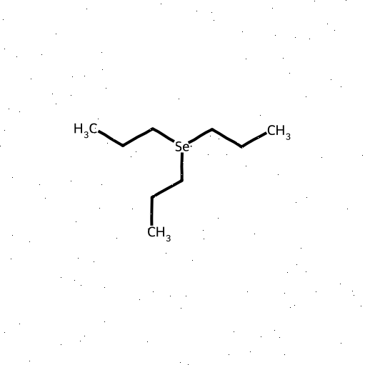 CCC[Se](CCC)CCC